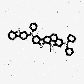 c1ccc(N(c2ccccc2)c2cc3ccc4cc5c6cc(N(c7ccccc7)c7ccc8c(c7)sc7ccccc78)ccc6sc5c5[nH]c(c2)c3c45)cc1